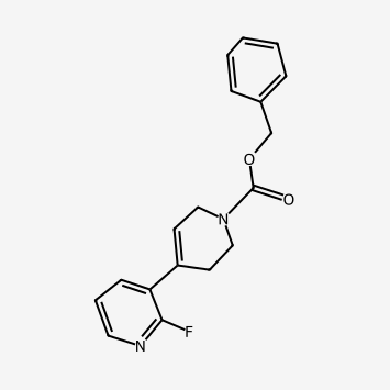 O=C(OCc1ccccc1)N1CC=C(c2cccnc2F)CC1